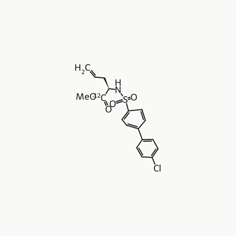 C=CC[C@@H](NS(=O)(=O)c1ccc(-c2ccc(Cl)cc2)cc1)[12C](=O)OC